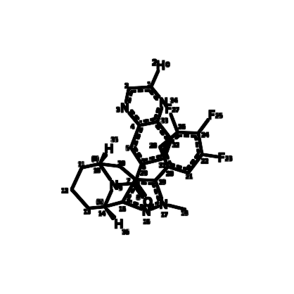 [2H]c1cnc2cc(C(=O)N3[C@@H]4CCC[C@H]3c3nn(C)c(-c5cc(F)c(F)c(F)c5)c3C4)ccc2n1